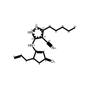 C=CCC1CC(=O)C=C1Nc1[nH]nc(CCCCC)c1C#N